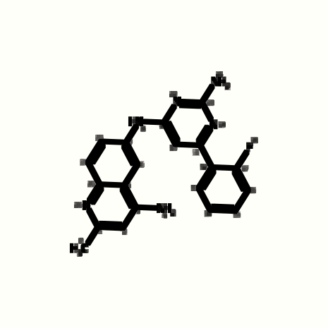 Cc1cc(N)c2cc(Nc3cc(-c4ccccc4F)nc(N)n3)ccc2n1